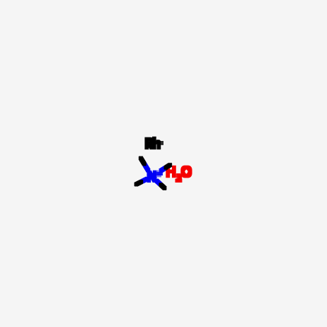 C[N+](C)(C)C.O.[Rh]